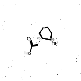 O=C(O)C[C@@H]1CCCC[C@@H]1O